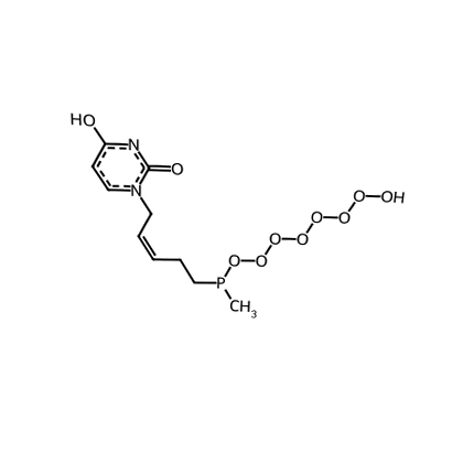 CP(CC/C=C\Cn1ccc(O)nc1=O)OOOOOOOO